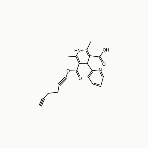 C#CCCC#COC(=O)C1=C(C)NC(C)=C(C(=O)O)C1c1ccccn1